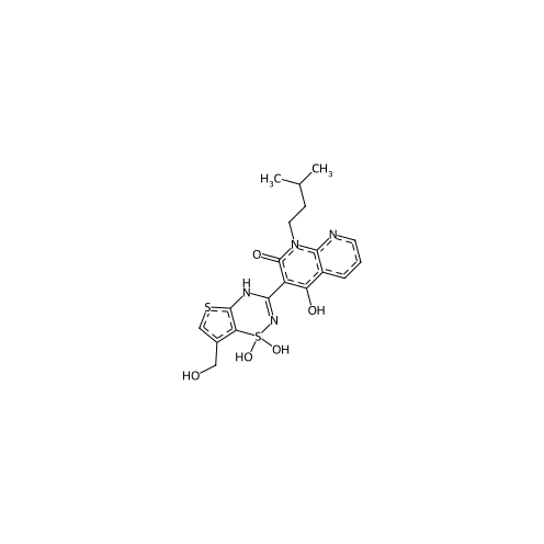 CC(C)CCn1c(=O)c(C2=NS(O)(O)c3c(CO)csc3N2)c(O)c2cccnc21